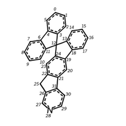 c1ccc2c(c1)-c1ccccc1C21c2ccccc2-c2cc3c(cc21)Cc1cnccc1-3